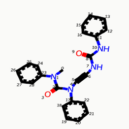 CN(C(=O)N(C#CNC(=O)Nc1ccccc1)c1ccccc1)c1ccccc1